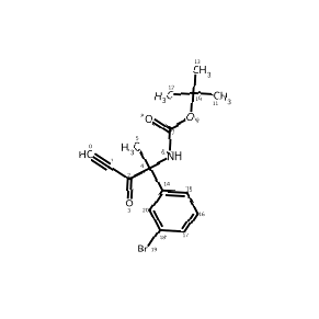 C#CC(=O)C(C)(NC(=O)OC(C)(C)C)c1cccc(Br)c1